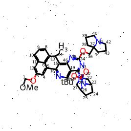 COCOc1cc2c3c(cccc3c1)C(C)c1c-2ncc2c(N3CC4CCC(C3)N4C(=O)OC(C)(C)C)nc(OCC34CCCN3CCC4)nc12